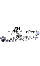 CCCCC/C=C\C/C=C\CCCCCCCCC(CCCCCCCC/C=C\C/C=C\CCCCC)OC(=O)/C=C/CN(C)C